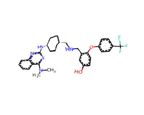 CN(C)c1nc(N[C@H]2CC[C@@H](CNCc3cc(O)ccc3Oc3ccc(C(F)(F)F)cc3)CC2)nc2ccccc12